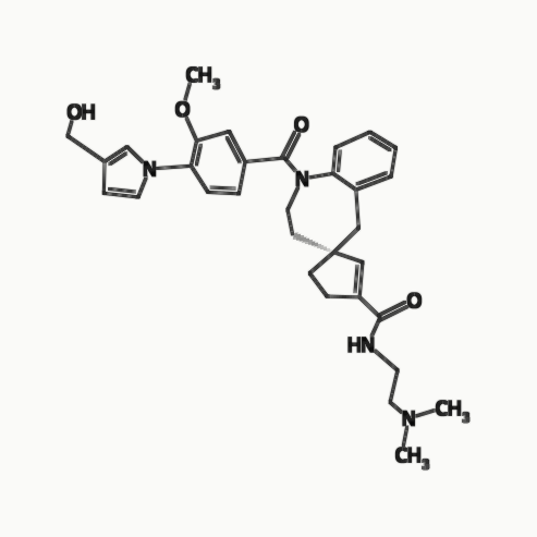 COc1cc(C(=O)N2CC[C@@]3(C=C(C(=O)NCCN(C)C)CC3)Cc3ccccc32)ccc1-n1ccc(CO)c1